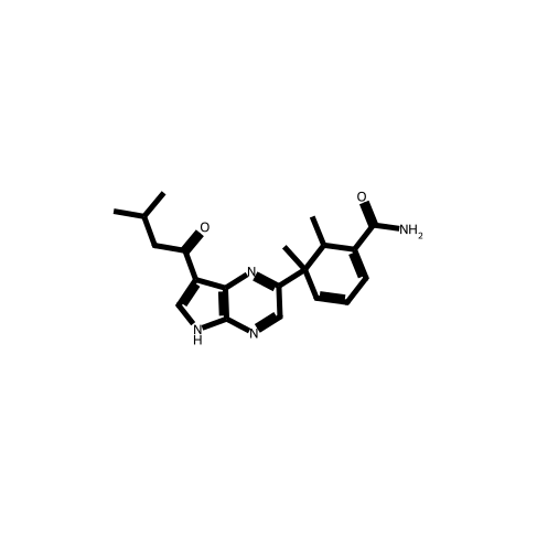 CC(C)CC(=O)c1c[nH]c2ncc(C3(C)C=CC=C(C(N)=O)C3C)nc12